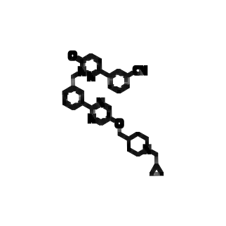 N#Cc1cccc(-c2ccc(=O)n(Cc3cccc(-c4ncc(OCC5CCN(CC6CC6)CC5)cn4)c3)n2)c1